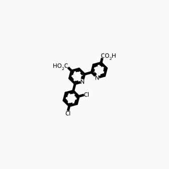 O=C(O)c1ccnc(-c2cc(C(=O)O)cc(-c3ccc(Cl)cc3Cl)n2)c1